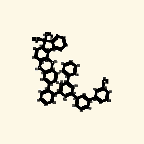 CC1(C)c2ccccc2-c2c1ccc1c2Oc2ccc(-c3ccccc3-c3nc(-c4ccccc4)nc(-c4cccc(-c5cccc(C#N)c5)c4)n3)cc2O1